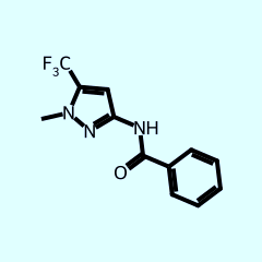 Cn1nc(NC(=O)c2ccccc2)cc1C(F)(F)F